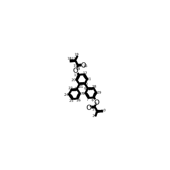 C=C(C)C(=O)Oc1ccc(-c2ccc(OC(=O)C(=C)C)cc2-c2ccccc2)cc1